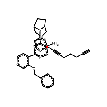 C#CCCCC#Cc1nccc(N2C3CCC2CN(c2cc(-c4ccccc4OCc4ccccc4)nnc2N)C3)n1